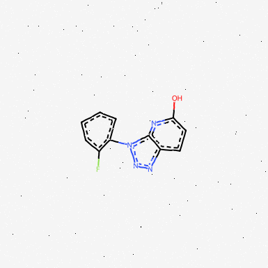 Oc1ccc2nnn(-c3ccccc3F)c2n1